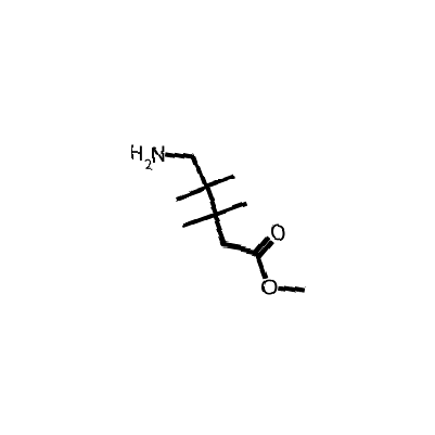 COC(=O)CC(C)(C)C(C)(C)CN